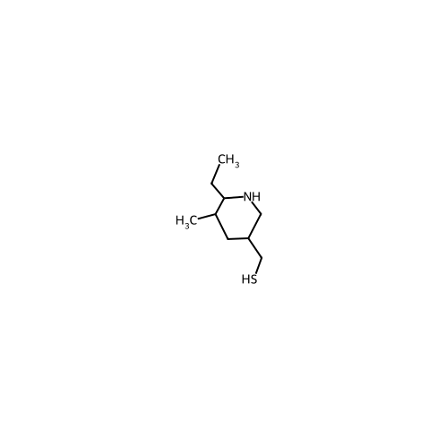 CCC1NCC(CS)CC1C